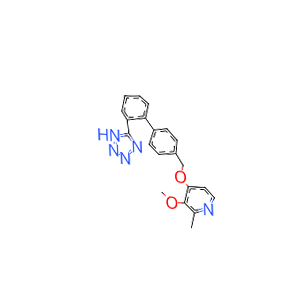 COc1c(OCc2ccc(-c3ccccc3-c3nnn[nH]3)cc2)ccnc1C